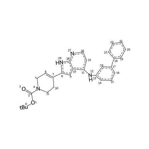 CC(C)(C)OC(=O)N1CC=C(c2cc3c(Nc4cccc(-c5ccccc5)c4)ccnc3[nH]2)CC1